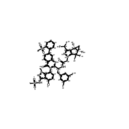 Cn1nc(NS(C)(=O)=O)c2c(Cl)ccc(-n3c([C@H](Cc4cc(F)cc(F)c4)NC(=O)Cn4nc(C(F)F)c5c4C(F)(F)[C@@H]4C[C@H]54)nc4cc(-c5ccccc5S(C)(=O)=O)ccc4c3=O)c21